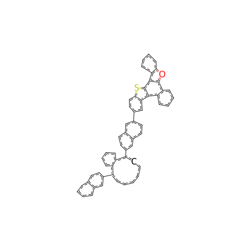 c1cccc(-c2ccc3cc(-c4ccc5sc6c(c5c4)c4ccccc4c4oc5ccccc5c46)ccc3c2)c2ccccc2c(-c2ccc3ccccc3c2)cc1